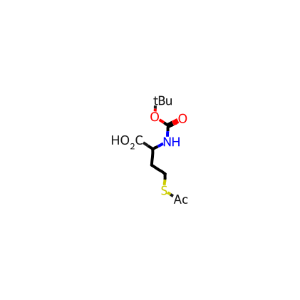 CC(=O)SCCC(NC(=O)OC(C)(C)C)C(=O)O